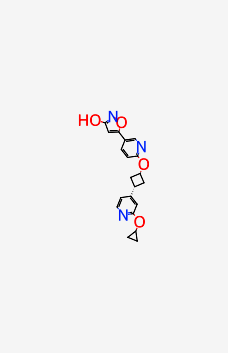 Oc1cc(-c2ccc(O[C@H]3C[C@@H](c4ccnc(OC5CC5)c4)C3)nc2)on1